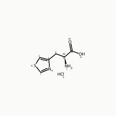 Cl.N[C@@H](Cc1cscn1)C(=O)O